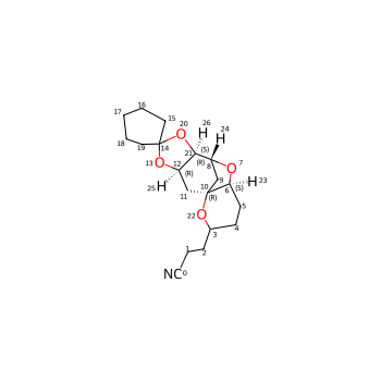 N#CCCC1CC[C@@H]2O[C@@H]3C[C@]2(C[C@H]2OC4(CCCCC4)O[C@@H]32)O1